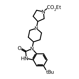 CCOC(=O)N1CCC(N2CCC(n3c(=O)[nH]c4cc(C(C)(C)C)ccc43)CC2)C1